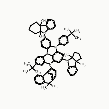 CC(C)(C)c1ccc(N2c3cc(N4c5ccccc5C5(C)CCCCC45C)ccc3B3c4ccc(C(C)(C)C)cc4N(c4ccc5cc4-c4ccccc4C5(C)C)c4cc(N5c6ccccc6C6(C)CCCC56C)cc2c43)cc1